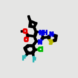 COC(=O)C1=C(C23CC(C)(C2)C3)NC(c2nccs2)=NC1c1ccc(F)c(F)c1Cl